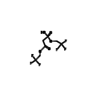 O=C(CP(=O)(O)OCC(F)(F)F)OCC(F)(F)F